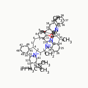 C=C1CC2C(CCc3ccc4c(oc5ncc(C)cc54)c3-c3n4c5c(cccc5[n+]31)C(C)c1cc(-c3ccccc3)cc(C(C)C)c1-4)c1ccccc1-c1cc(CC(C)C)c([Si](C)(C)C)c[n+]12